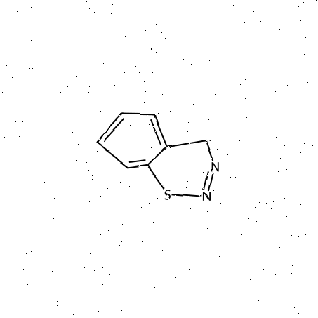 [CH]1N=NSc2ccccc21